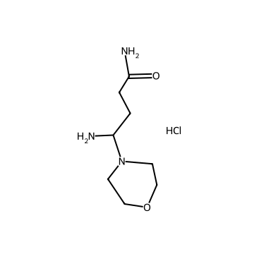 Cl.NC(=O)CCC(N)N1CCOCC1